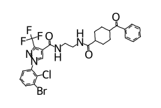 O=C(NCCNC(=O)C1CCC(C(=O)c2ccccc2)CC1)c1cn(-c2cccc(Br)c2Cl)nc1C(F)(F)F